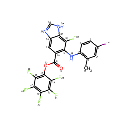 Cc1cc(I)ccc1Nc1c(C(=O)Oc2c(F)c(F)c(F)c(F)c2F)cc2nc[nH]c2c1F